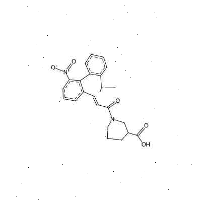 CC(C)c1ccccc1-c1c([N+](=O)[O-])[c]ccc1/C=C/C(=O)N1CCCC(C(=O)O)C1